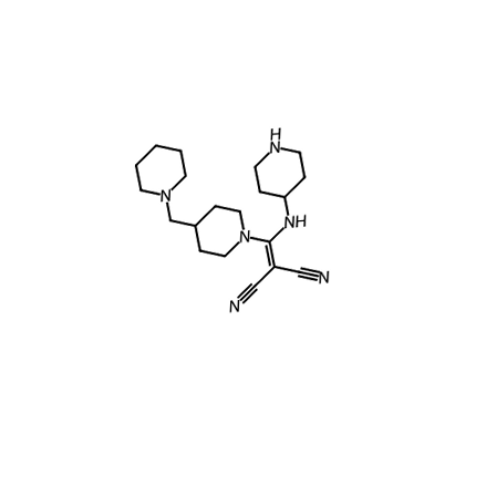 N#CC(C#N)=C(NC1CCNCC1)N1CCC(CN2CCCCC2)CC1